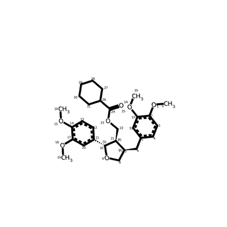 COc1ccc(C[C@H]2CO[C@H](c3ccc(OC)c(OC)c3)[C@H]2COC(=O)C2CCCCC2)cc1OC